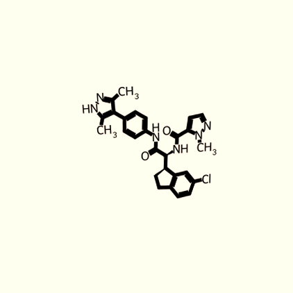 Cc1n[nH]c(C)c1-c1ccc(NC(=O)[C@@H](NC(=O)c2ccnn2C)[C@@H]2CCc3ccc(Cl)cc32)cc1